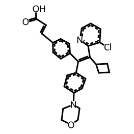 O=C(O)C=Cc1ccc(C(=C(c2ncccc2Cl)C2CCC2)c2ccc(N3CCOCC3)cc2)cc1